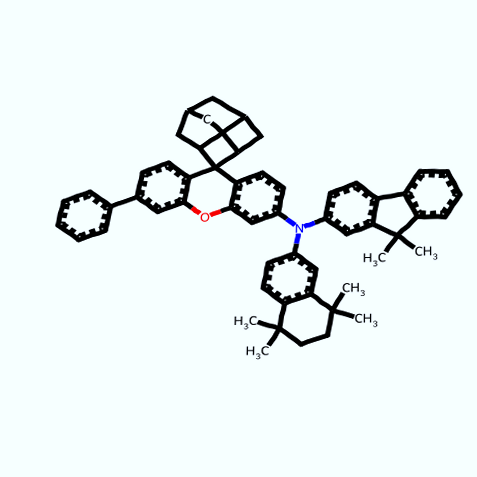 CC1(C)CCC(C)(C)c2cc(N(c3ccc4c(c3)Oc3cc(-c5ccccc5)ccc3C43C4CC5CC6CC3C64C5)c3ccc4c(c3)C(C)(C)c3ccccc3-4)ccc21